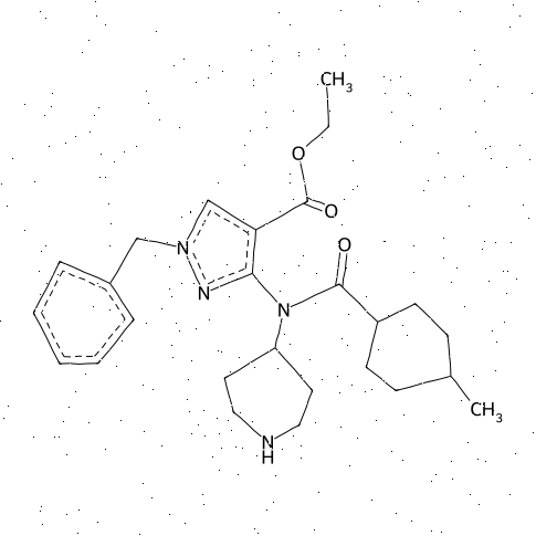 CCOC(=O)c1cn(Cc2ccccc2)nc1N(C(=O)C1CCC(C)CC1)C1CCNCC1